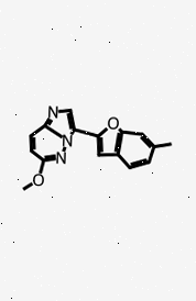 COc1ccc2ncc(-c3cc4ccc(C)cc4o3)n2n1